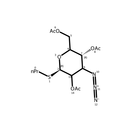 CCCS[C@H]1OC(COC(C)=O)[C@H](OC(C)=O)C(N=[N+]=[N-])C1OC(C)=O